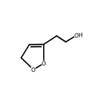 OCCC1=CCOO1